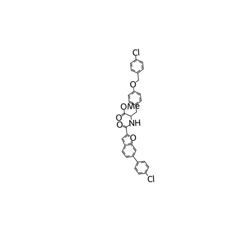 COC(=O)C(Cc1ccc(OCc2ccc(Cl)cc2)cc1)NC(=O)c1cc2ccc(-c3ccc(Cl)cc3)cc2o1